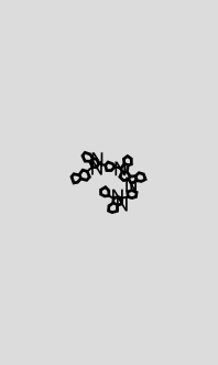 c1ccc(-c2nc(-c3cccc(-n4c5ccccc5c5c6c7ccccc7n(-c7ccc(-c8nc(-c9ccc%10ccccc%10c9)c9ccccc9n8)cc7)c6ccc54)c3)nc3ccccc23)cc1